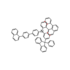 c1ccc(-c2cccc3cccc(-c4ccccc4N(c4ccc(-c5ccc(-c6cccc7ccccc67)cc5)cc4)c4cccc(C5(c6ccccc6)c6ccccc6-c6ccccc65)c4)c23)cc1